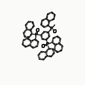 CP(=O)(c1cc(P(=O)(c2cccc3ccccc23)c2cccc3ccccc23)cc(P(=O)(c2cccc3ccccc23)c2cccc3ccccc23)c1)c1cccc2ccccc12